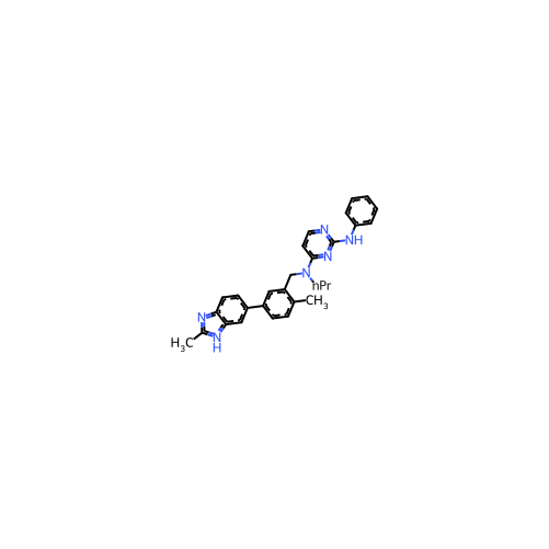 CCCN(Cc1cc(-c2ccc3nc(C)[nH]c3c2)ccc1C)c1ccnc(Nc2ccccc2)n1